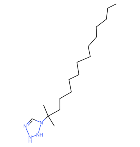 CCCCCCCCCCCCCC(C)(C)N1C=NNN1